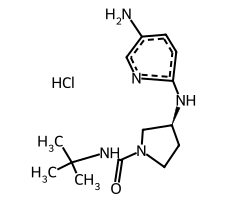 CC(C)(C)NC(=O)N1CC[C@H](Nc2ccc(N)cn2)C1.Cl